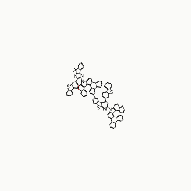 CC1(C)c2ccccc2-c2nc(-n3c4ccc5ccccc5c4c4c5c(ccc43)c3ccccc3c3cc(-c4ccc6sc7nc(-n8c9ccc%10ccccc%10c9c9c%10c%11ccccc%11c%11ccccc%11c%10ccc98)cc(-c8ccc9c(c8)sc8ccccc89)c7c6c4)ccc35)c(-c3ccc4c(c3)sc3ccccc34)nc21